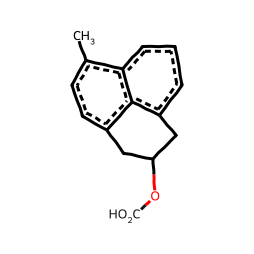 Cc1ccc2c3c(cccc13)CC(OC(=O)O)C2